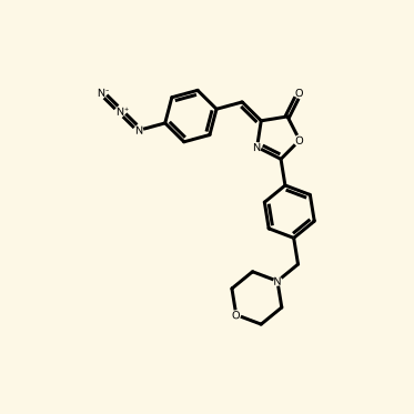 [N-]=[N+]=Nc1ccc(/C=C2\N=C(c3ccc(CN4CCOCC4)cc3)OC2=O)cc1